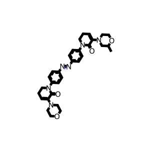 CC1CN(C2=CCCN(c3ccc(/N=N/c4ccc(N5CCC=C(N6CCOCC6)C5=O)cc4)cc3)C2=O)CCO1